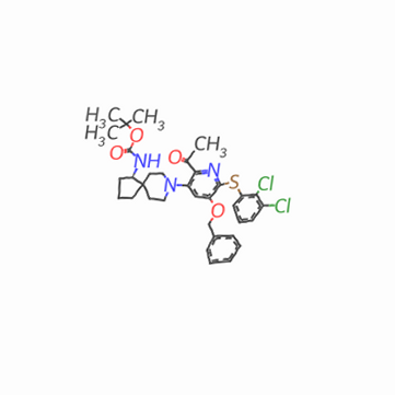 CC(=O)c1nc(Sc2cccc(Cl)c2Cl)c(OCc2ccccc2)cc1N1CCC2(CCC[C@H]2NC(=O)OC(C)(C)C)CC1